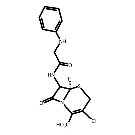 O=C(CNc1ccccc1)NC1C(=O)N2C(C(=O)O)=C(Cl)CS[C@H]12